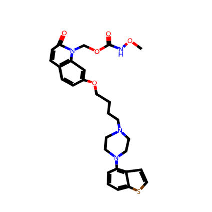 CONC(=O)OCn1c(=O)ccc2ccc(OCCCCN3CCN(c4cccc5sccc45)CC3)cc21